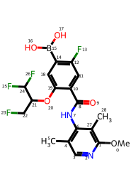 COc1ncc(C)c(NC(=O)c2cc(F)c(B(O)O)cc2OC(CF)C(F)F)c1C